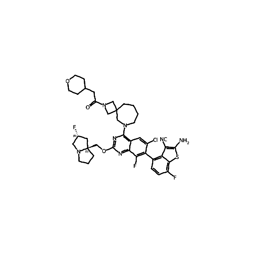 N#Cc1c(N)sc2c(F)ccc(-c3c(Cl)cc4c(N5CCCCC6(CN(C(=O)CC7CCOCC7)C6)C5)nc(OC[C@@]56CCCN5C[C@H](F)C6)nc4c3F)c12